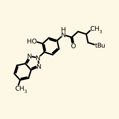 Cc1ccc2nn(-c3ccc(NC(=O)CC(C)CC(C)(C)C)cc3O)nc2c1